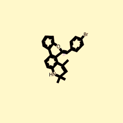 CC1=CC(C)(C)Nc2ccc3c(c21)/C(=C/c1ccc(Br)cc1)Oc1ccccc1-3